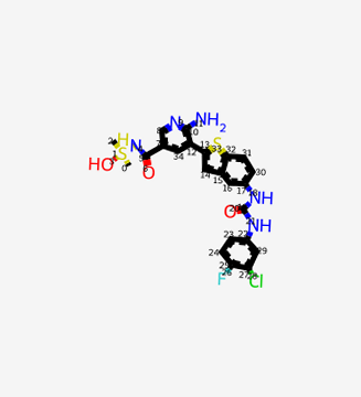 C[SH](C)(O)=NC(=O)c1cnc(N)c(-c2cc3cc(NC(=O)Nc4ccc(F)c(Cl)c4)ccc3s2)c1